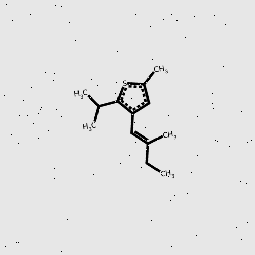 CC/C(C)=C/c1cc(C)sc1C(C)C